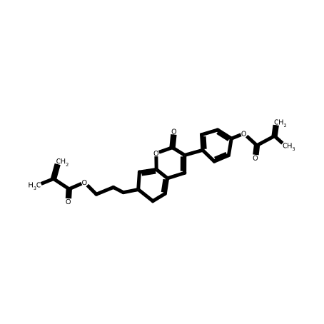 C=C(C)C(=O)OCCCC1C=c2oc(=O)c(-c3ccc(OC(=O)C(=C)C)cc3)cc2=CC1